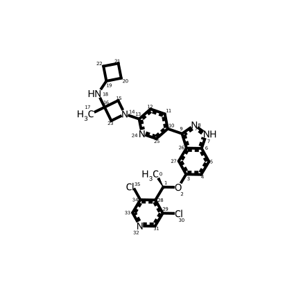 C[C@@H](Oc1ccc2[nH]nc(-c3ccc(N4CC(C)(NC5CCC5)C4)nc3)c2c1)c1c(Cl)cncc1Cl